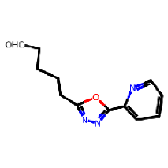 O=CCCCCc1nnc(-c2ccccn2)o1